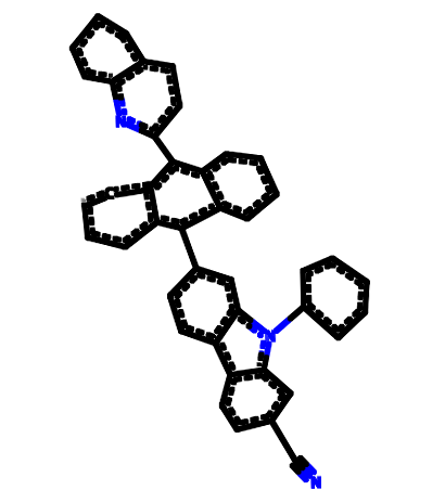 N#Cc1ccc2c3ccc(-c4c5ccccc5c(-c5ccc6ccccc6n5)c5ccccc45)cc3n(-c3ccccc3)c2c1